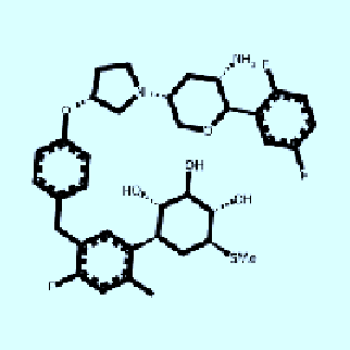 CS[C@H]1C[C@@H](c2cc(Cc3ccc(O[C@@H]4CCN([C@H]5CO[C@H](c6cc(F)ccc6F)[C@@H](N)C5)C4)cc3)c(F)cc2C)[C@H](O)[C@@H](O)[C@@H]1O